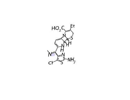 CCC1=C(C(=O)O)N2C3=CC=C(/C(=N\C)c4nc(N)sc4Cl)N[C@H]3[C@H]2SC1